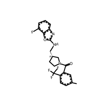 Cc1ccc(C(F)(F)F)c(C(=O)N2CC[C@H](CNc3nc4cccc(F)c4o3)C2)c1